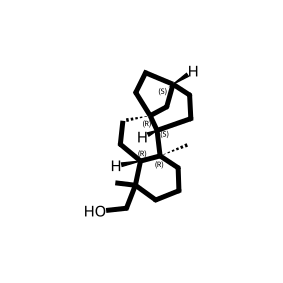 CC1(CO)CCC[C@@]2(C)[C@H]1CC[C@@]13CC[C@H](CC[C@@H]12)C3